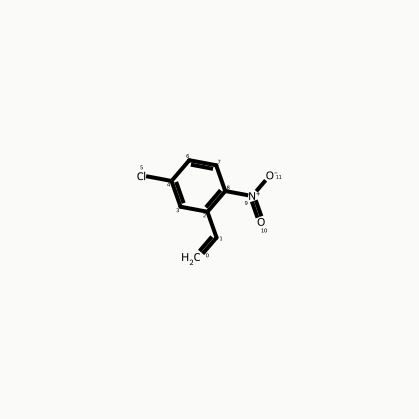 C=Cc1cc(Cl)ccc1[N+](=O)[O-]